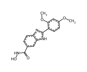 COc1ccc(-c2nc3ccc(C(=O)NO)cc3[nH]2)c(OC)c1